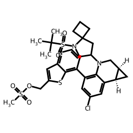 CC(C)(C)S(=O)(=O)N1CC(N2C[C@H]3C[C@H]3c3cc(Cl)cc(-c4ccnc5cc(COS(C)(=O)=O)sc45)c32)CC12CCC2